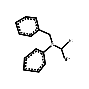 CCCC(CC)N(Cc1ccccc1)c1cc[c]cc1